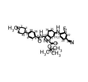 CN1CCC(c2ccc(C(=O)Nc3nn(C(=O)OC(C)(C)C)c4cc(Nc5ccc(C#N)cc5F)ccc34)cc2)CC1